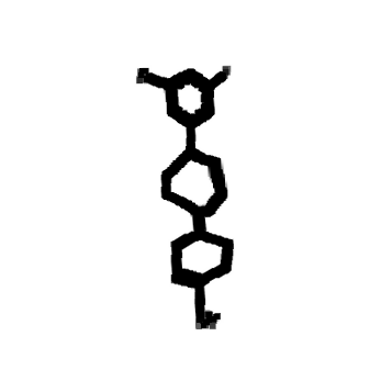 CCCC1=CCC(C2CCC(c3cc(F)cc(F)c3)CC2)CC1